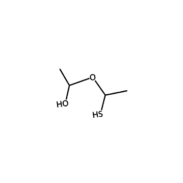 CC(O)OC(C)S